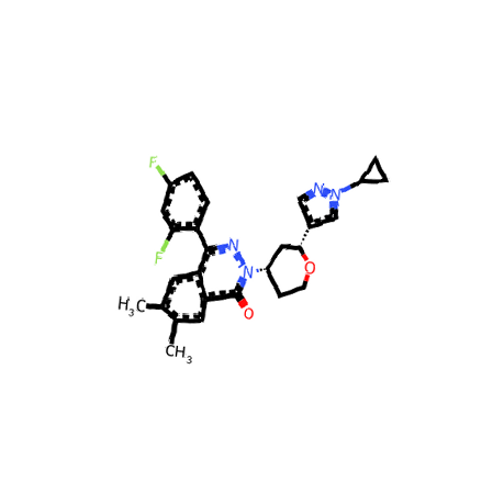 Cc1cc2c(-c3ccc(F)cc3F)nn([C@H]3CCO[C@@H](c4cnn(C5CC5)c4)C3)c(=O)c2cc1C